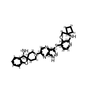 N[C@@H]1c2ccccc2OC12CCN(c1cnc3c(Sc4ccnc5c4OCC4(CCC4)N5)n[nH]c3n1)CC2